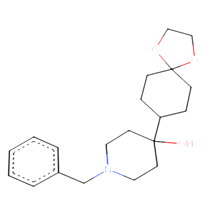 OC1(C2CCC3(CC2)OCCO3)CCN(Cc2ccccc2)CC1